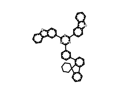 c1cc(-c2nc(-c3ccc4oc5ccccc5c4c3)nc(-c3ccc4oc5ccccc5c4c3)n2)cc(-c2cccc3c2C2(CCCCC2)c2ccccc2-3)c1